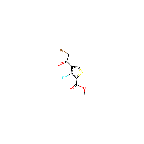 COC(=O)c1scc(C(=O)CBr)c1F